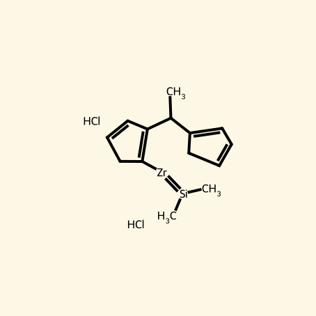 CC(C1=CC=CC1)C1=[C]([Zr]=[Si](C)C)CC=C1.Cl.Cl